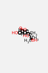 C[C@H]([C@H](O)CCC(C)(C)O)[C@H]1CC[C@@]2(O)C3=CC(=O)[C@@H]4C[C@H](O)CC[C@]4(C)[C@H]3CC[C@]12C